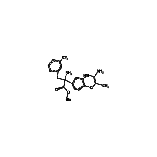 CC1=C(N)Nc2cc(C(N)(Cc3cccc(C(F)(F)F)c3)C(=O)OC(C)(C)C)ccc2O1